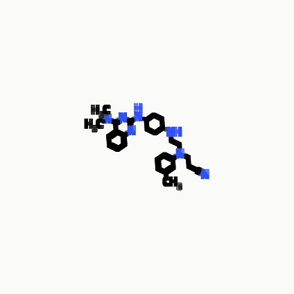 Cc1cccc(N(CCC#N)CCN[C@H]2CC[C@@H](Nc3nc(N(C)C)c4ccccc4n3)CC2)c1